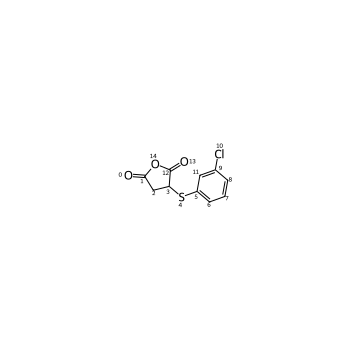 O=C1CC(Sc2cccc(Cl)c2)C(=O)O1